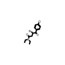 CCN(CC)C(=O)CC(Br)C(=O)c1ccc(Cl)cc1